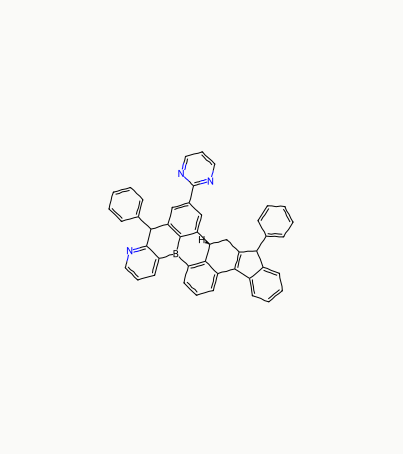 c1ccc(C2C3=C(c4ccccc42)c2cccc4c2[C@@H](C3)c2cc(-c3ncccn3)cc3c2B4c2cccnc2C3c2ccccc2)cc1